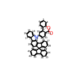 O=c1oc2ccccc2c2cc(-n3c4ccccc4c4ccc5c(c43)-c3ccccc3C53c4ccccc4-c4ccccc43)ccc12